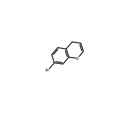 Brc1ccc2c(c1)OC=CC2